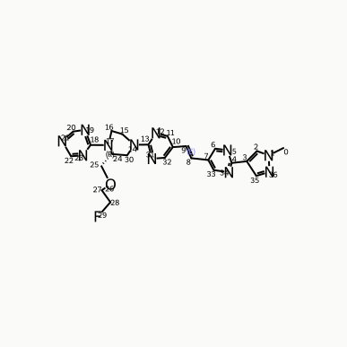 Cn1cc(-c2ncc(/C=C/c3cnc(N4CCN(c5ncncn5)[C@@H](COCCF)C4)nc3)cn2)cn1